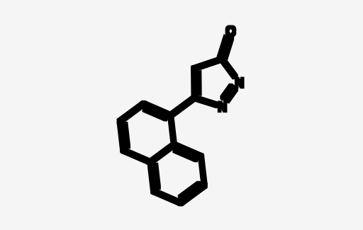 O=C1C=C(c2cccc3ccccc23)N=N1